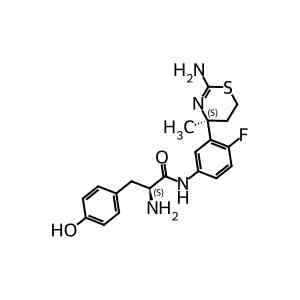 C[C@@]1(c2cc(NC(=O)[C@@H](N)Cc3ccc(O)cc3)ccc2F)CCSC(N)=N1